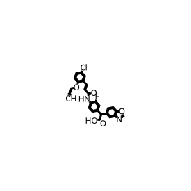 C#CCOc1ccc(Cl)cc1C=CC(=O)Nc1ccc(C(C(=O)O)c2ccc3ocnc3c2)cc1F